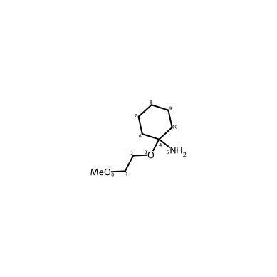 COCCOC1(N)CCCCC1